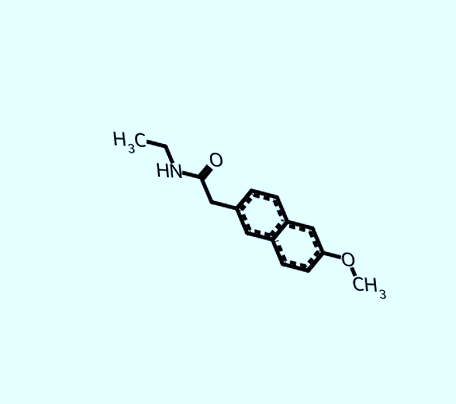 CCNC(=O)Cc1ccc2cc(OC)ccc2c1